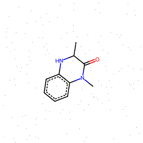 CC1Nc2ccccc2N(C)C1=O